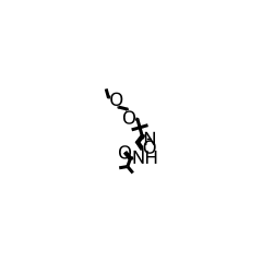 CCOCCOCC(C)(C)c1cc(NC(=O)C(C)C)on1